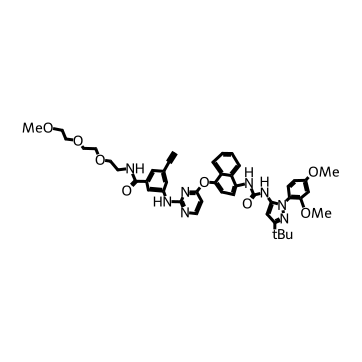 C#Cc1cc(Nc2nccc(Oc3ccc(NC(=O)Nc4cc(C(C)(C)C)nn4-c4ccc(OC)cc4OC)c4ccccc34)n2)cc(C(=O)NCCOCCOCCOC)c1